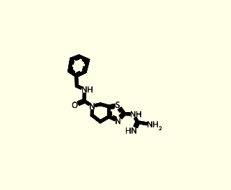 N=C(N)Nc1nc2c(s1)CN(C(=O)NCc1ccccc1)CC2